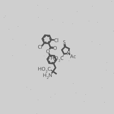 CC(=O)N1CC(=S)C[C@H]1C(=O)O.C[C@](N)(Cc1ccc(OC(=O)c2c(Cl)cccc2Cl)cc1)C(=O)O